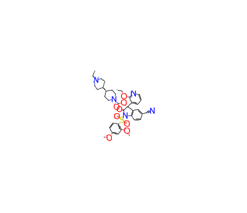 CCOc1ncccc1C1(OC(=O)N2CCC(C3CCN(CC)CC3)CC2)C(=O)N(S(=O)(=O)c2ccc(OC)cc2OC)c2ccc(C#N)cc21